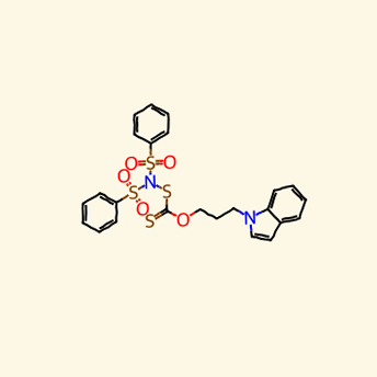 O=S(=O)(c1ccccc1)N(SC(=S)OCCCn1ccc2ccccc21)S(=O)(=O)c1ccccc1